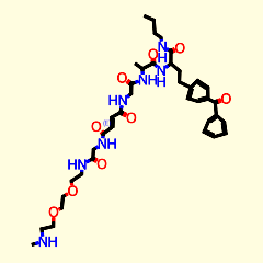 CCCCNC(=O)C(CCc1ccc(C(=O)c2ccccc2)cc1)NC(=O)C(C)NC(=O)CNC(=O)/C=C/C(=O)NCC(=O)NCCOCCOCCNC